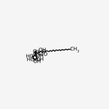 CCCCCCCCCCCCCCCCCC(=O)OC[C@@H](O)COP(=O)(O)OC1C(O)C(O)C(O)C(O)C1O